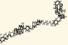 C[C@H](CC(=O)N1CCC(O)(Cn2cnc3c(-c4ccc(CNCc5cnn(CCCCCCc6ccc(Cc7nc(C(=O)N[C@H]8COc9ccccc9N(C)C8=O)n[nH]7)cc6)c5)cc4)n(C)nc3c2=O)CC1)c1ccccc1